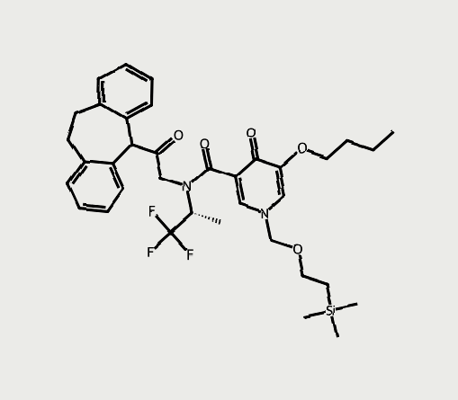 CCCCOc1cn(COCC[Si](C)(C)C)cc(C(=O)N(CC(=O)C2c3ccccc3CCc3ccccc32)[C@H](C)C(F)(F)F)c1=O